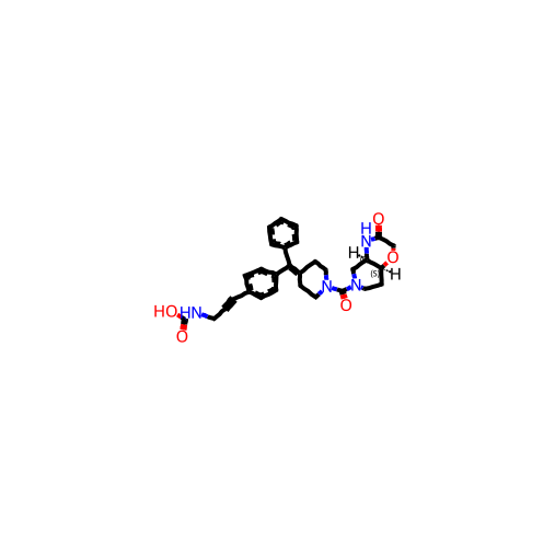 O=C(O)NCC#Cc1ccc(C(=C2CCN(C(=O)N3CC[C@@H]4OCC(=O)N[C@@H]4C3)CC2)c2ccccc2)cc1